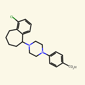 O=C(O)c1ccc(N2CCN(C3CCCCc4c(Cl)cccc43)CC2)cc1